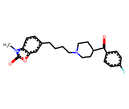 Cn1c(=O)oc2cc(CCCCN3CCC(C(=O)c4ccc(F)cc4)CC3)ccc21